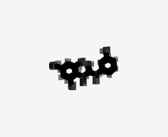 O=C(Nc1[c]ccc(Cl)c1)Nc1c(Cl)cc(Cl)cc1Cl